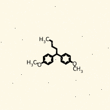 CCCCC(c1ccc(OC)cc1)c1ccc(OC)cc1